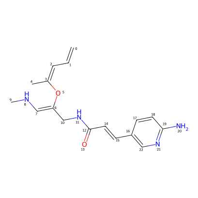 C=C/C=C(/C)O/C(=C\NC)CNC(=O)/C=C/c1ccc(N)nc1